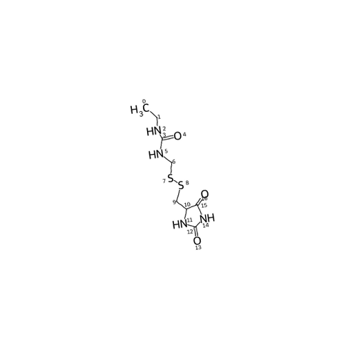 CCNC(=O)NCSSCC1NC(=O)NC1=O